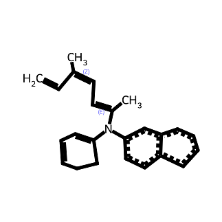 C=C/C(C)=C\C=C(/C)N(C1=CC=CCC1)c1ccc2ccccc2c1